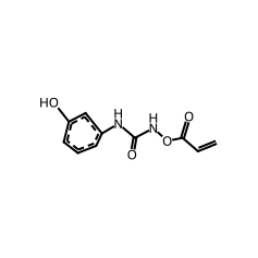 C=CC(=O)ONC(=O)Nc1cccc(O)c1